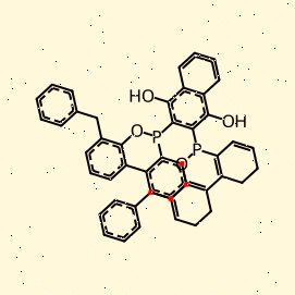 Oc1c2c(c(O)c(P3Oc4c(Cc5ccccc5)cccc4-c4ccccc43)c1P1OC3=C(CCC=C3Cc3ccccc3)C3=C1C=CCC3)C=C=C=C2